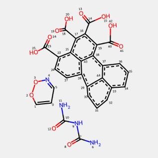 C1=COON=C1.NC(=O)NC(N)=O.O=C(O)c1c(C(=O)O)c2c(C(=O)O)ccc3c4cccc5cccc(c(c1C(=O)O)c23)c54